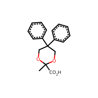 CC1(C(=O)O)OCC(c2ccccc2)(c2ccccc2)CO1